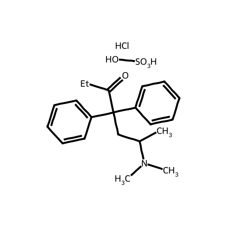 CCC(=O)C(CC(C)N(C)C)(c1ccccc1)c1ccccc1.Cl.O=S(=O)(O)O